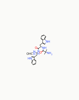 CC(C)(N)C(=O)N[C@H](Cc1c[nH]c2ccccc12)C(=O)NC(Cc1c[nH]c2ccccc12)NC=O